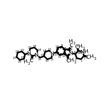 C=C1CCC(n2c(=C)c3ccc(N4CCC(CN5CCCN(C6CCCCC6)C5=C)CC4)cc3c2=C)C(=C)N1